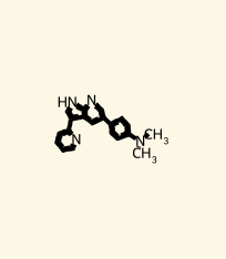 CN(C)c1ccc(-c2cnc3[nH]cc(-c4ccccn4)c3c2)cc1